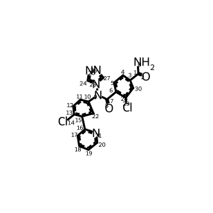 NC(=O)c1ccc(C(=O)N(c2ccc(Cl)c(-c3ccccn3)c2)n2cnnc2)c(Cl)c1